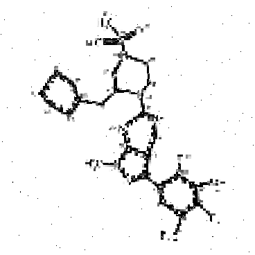 Cn1nc(-c2cc(C(F)(F)F)c(F)c(O)c2F)c2cnc(N3CCN(S(C)(=O)=O)C[C@@H]3Cc3ccccc3)nc21